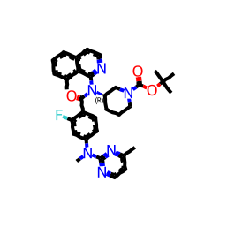 Cc1ccnc(N(C)c2ccc(C(=O)N(c3nccc4cccc(C)c34)[C@@H]3CCCN(C(=O)OC(C)(C)C)C3)c(F)c2)n1